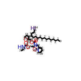 CCCCCCCCCCCCCC(CCC)[C@H]1CCO[C@]1(COC(=O)NCC)COC(=O)N(Cc1ccccn1)C(C)=O.I